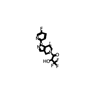 C[C@@H]1CN(C(=O)C(O)C(F)(F)F)Cc2cnn(-c3ccc(F)cn3)c21